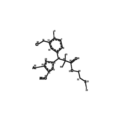 COc1cc(C(c2ccc(C)c(CCl)c2)C(C)(C)C(=O)OCCSI)sc1C(C)=O